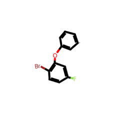 Fc1ccc(Br)c(Oc2c[c]ccc2)c1